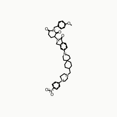 COc1ccc(CN2C(=O)CCC(N3Cc4cc(N5CCC6(CCC(CN7CCN(c8ccc([N+](=O)[O-])cc8)CC7)CC6)CC5)ccc4C3=O)C2=O)cc1